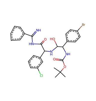 CC(C)(C)OC(=O)NC(c1ccc(Br)cc1)C(O)NC(C(=O)NC(=N)c1ccccc1)c1cccc(Cl)c1